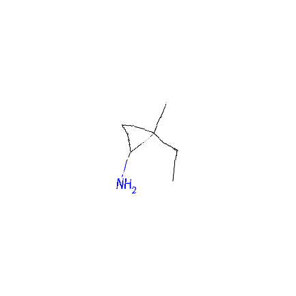 CCC1(C)CC1N